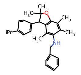 Cc1c(C)c2c(c(C)c1NCc1ccccc1)C(c1ccc(C(C)C)cc1)C(C)(C)O2